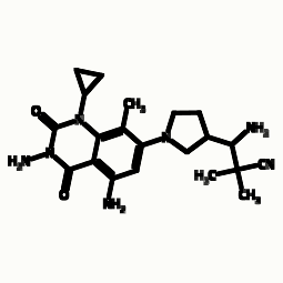 Cc1c(N2CCC(C(N)C(C)(C)C#N)C2)cc(N)c2c(=O)n(N)c(=O)n(C3CC3)c12